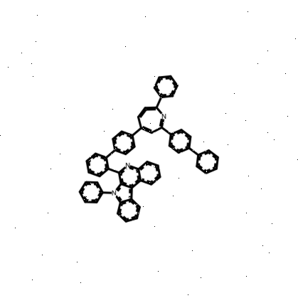 C1=CC(c2ccc(-c3ccccc3-c3nc4ccccc4c4c5ccccc5n(-c5ccccc5)c34)cc2)=CC(c2ccc(-c3ccccc3)cc2)=NC=1c1ccccc1